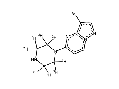 [2H]C1([2H])NC([2H])([2H])C([2H])([2H])N(c2ccn3ncc(Br)c3n2)C1([2H])[2H]